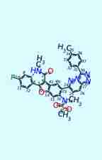 CNC(=O)c1c(-c2ccc(F)cc2)oc2cc(N(C)S(C)(=O)=O)c(-c3ccc4nnc(-c5ccc(C)cc5)n4n3)cc12